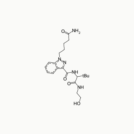 CC(C)(C)C(NC(=O)c1nn(CCCCC(N)=O)c2ccccc12)C(=O)NCCO